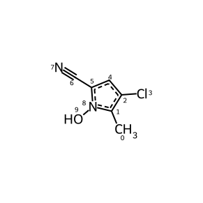 Cc1c(Cl)cc(C#N)n1O